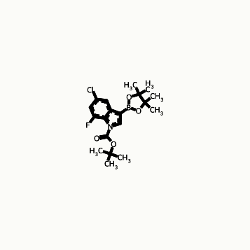 CC(C)(C)OC(=O)n1cc(B2OC(C)(C)C(C)(C)O2)c2cc(Cl)cc(F)c21